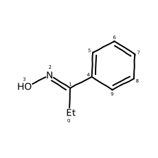 CC/C(=N\O)c1ccccc1